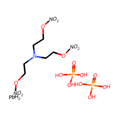 O=P(O)(O)O.O=P(O)(O)O.O=[N+]([O-])OCCN(CCO[N+](=O)[O-])CCO[N+](=O)[O-].[PbH2]